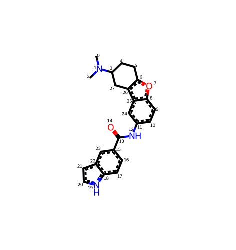 CN(C)C1CCc2oc3ccc(NC(=O)c4ccc5[nH]ccc5c4)cc3c2C1